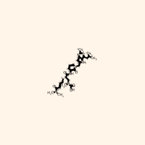 Cc1nc(CC(C)C)c2[nH]c(Cn3cccc(NC(=O)[C@@H](CC/C=C/C(=O)N(C)C)CN(C)C(=O)O)c3=O)cc2n1